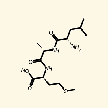 CSCC[C@H](NC(=O)[C@H](C)NC(=O)[C@@H](N)CC(C)C)C(=O)O